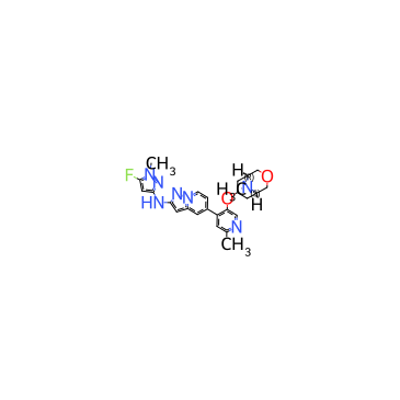 Cc1cc(-c2ccn3nc(Nc4cc(F)n(C)n4)cc3c2)c(OC2C[C@H]3COC[C@@H](C2)N3C)cn1